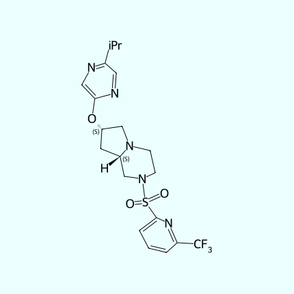 CC(C)c1cnc(O[C@H]2C[C@H]3CN(S(=O)(=O)c4cccc(C(F)(F)F)n4)CCN3C2)cn1